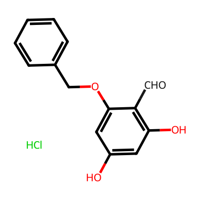 Cl.O=Cc1c(O)cc(O)cc1OCc1ccccc1